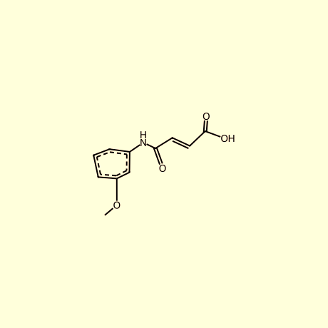 COc1cccc(NC(=O)C=CC(=O)O)c1